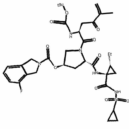 C=C(C)C(=O)C[C@H](NC(=O)OC(C)(C)C)C(=O)N1C[C@H](OC(=O)N2Cc3cccc(F)c3C2)C[C@H]1C(=O)N[C@]1(C(=O)NS(=O)(=O)C2CC2)C[C@H]1CC